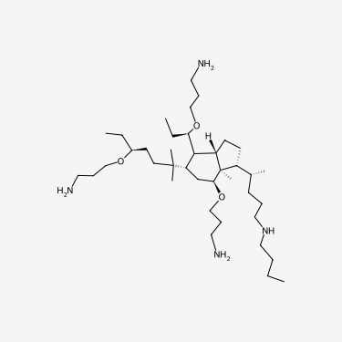 CCCCNCCC[C@@H](C)[C@H]1CC[C@H]2C([C@@H](CC)OCCCN)[C@@H](C(C)(C)CC[C@H](CC)OCCCN)C[C@H](OCCCN)[C@]12C